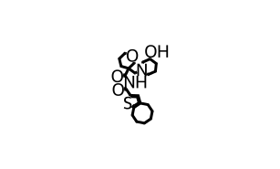 O=C(NC(=O)C1(CN2CCCC(O)C2)CCCOC1)c1cc2c(s1)CCCCCC2